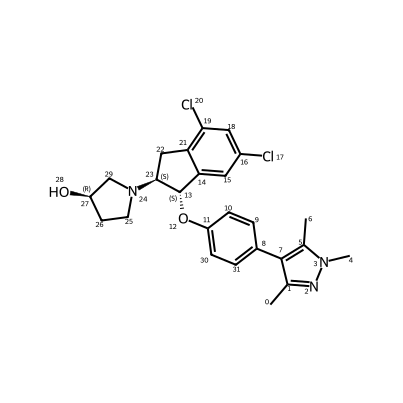 Cc1nn(C)c(C)c1-c1ccc(O[C@H]2c3cc(Cl)cc(Cl)c3C[C@@H]2N2CC[C@@H](O)C2)cc1